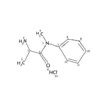 CC(N)C(=O)N(C)c1ccccc1.Cl